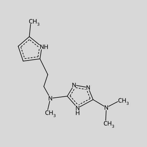 Cc1ccc(CCN(C)c2nnc(N(C)C)[nH]2)[nH]1